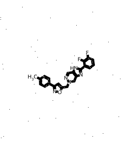 Cc1ccc(-c2cc(CN3Cc4nc(-c5cccc(F)c5F)[nH]c4C=N3)on2)cc1